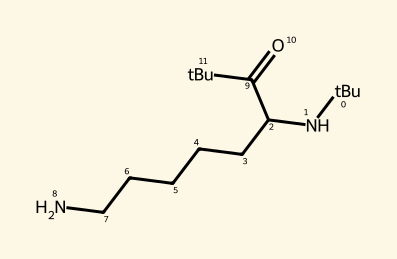 CC(C)(C)NC(CCCCCN)C(=O)C(C)(C)C